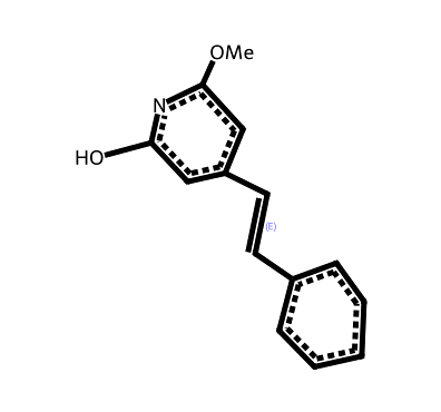 COc1cc(/C=C/c2ccccc2)cc(O)n1